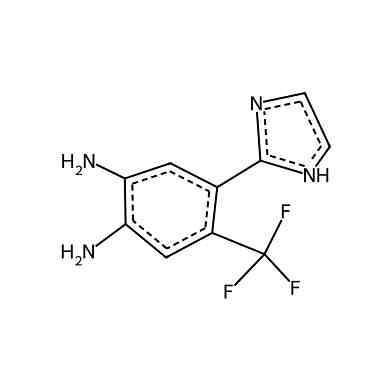 Nc1cc(-c2ncc[nH]2)c(C(F)(F)F)cc1N